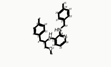 COCC(Cc1ccc(C)cc1)Nc1cccnc1NCc1ccc(C)cc1